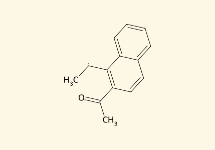 C[CH]c1c(C(C)=O)ccc2ccccc12